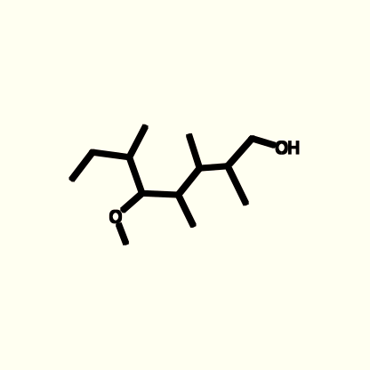 CCC(C)C(OC)C(C)C(C)C(C)CO